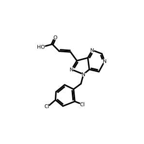 O=C(O)/C=C/c1nn(Cc2ccc(Cl)cc2Cl)c2cncnc12